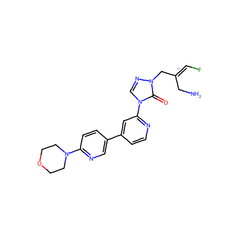 NC/C(=C\F)Cn1ncn(-c2cc(-c3ccc(N4CCOCC4)nc3)ccn2)c1=O